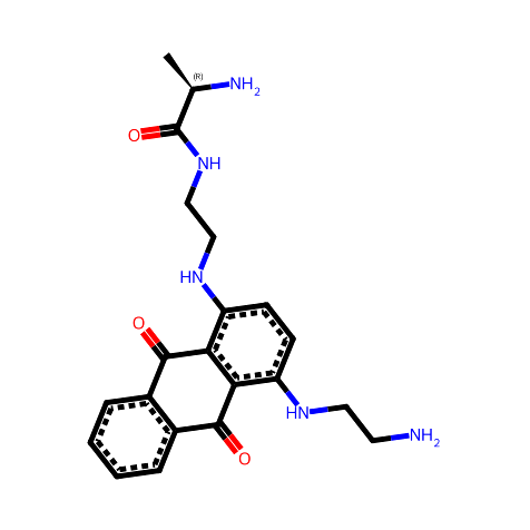 C[C@@H](N)C(=O)NCCNc1ccc(NCCN)c2c1C(=O)c1ccccc1C2=O